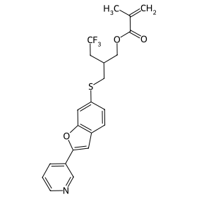 C=C(C)C(=O)OCC(CSc1ccc2cc(-c3cccnc3)oc2c1)CC(F)(F)F